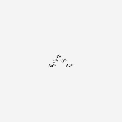 [Au+3].[Au+3].[O-2].[O-2].[O-2]